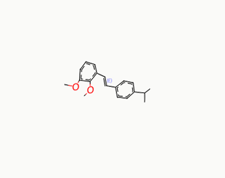 COc1cccc(/C=C/c2ccc(C(C)C)cc2)c1OC